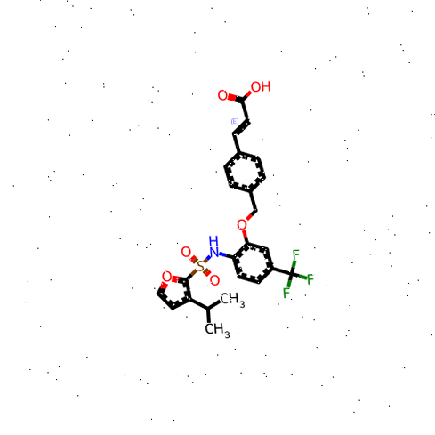 CC(C)c1ccoc1S(=O)(=O)Nc1ccc(C(F)(F)F)cc1OCc1ccc(/C=C/C(=O)O)cc1